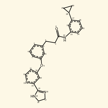 O=C(CCc1cccc(Oc2ccnc(C3=NCCN3)c2)c1)Nc1cccc(C2CC2)c1